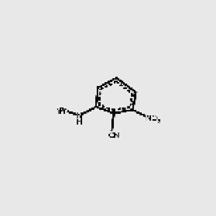 CCCNc1cccc([N+](=O)[O-])c1C#N